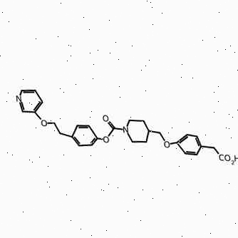 O=C(O)Cc1ccc(OCC2CCN(C(=O)Oc3ccc(CCOc4cccnc4)cc3)CC2)cc1